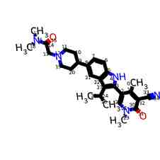 Cc1c(-c2[nH]c3ccc(C4CCN(CC(=O)N(C)C)CC4)cc3c2C(C)C)cn(C)c(=O)c1C#N